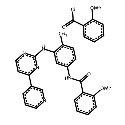 COc1ccccc1C(=O)Cl.COc1ccccc1C(=O)Nc1ccc(C)c(Nc2nccc(-c3cccnc3)n2)c1